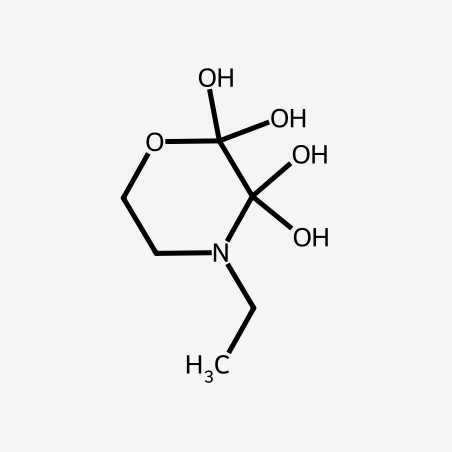 CCN1CCOC(O)(O)C1(O)O